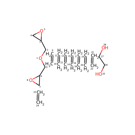 C(OCC1CO1)C1CO1.C=C.C=C.C=C.C=C.C=C.C=C.C=C.C=C.OCCO